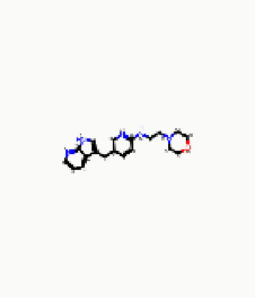 C1=CC(Cc2c[nH]c3ncccc23)CN=C1NCCN1CCOCC1